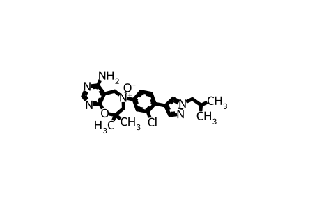 CC(C)Cn1cc(-c2ccc([N+]3([O-])Cc4c(N)ncnc4OC(C)(C)C3)cc2Cl)cn1